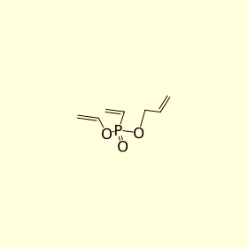 C=CCOP(=O)(C=C)OC=C